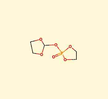 O=P1(OC2OCCO2)OCCO1